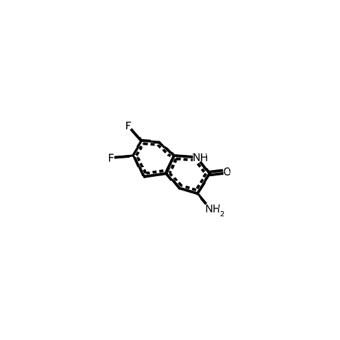 Nc1cc2cc(F)c(F)cc2[nH]c1=O